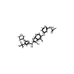 CC(=O)Nc1cc(Oc2cnc3nc(Nc4cc(C(C)(F)F)n([C@@H]5CCOC5)n4)n(C)c3c2C)ccn1